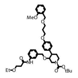 CCOCCC(=O)Nc1cccc(COC2CN(C(=O)OC(C)(C)C)CCC2c2ccc(OCCCOCc3ccccc3OC)cc2)c1